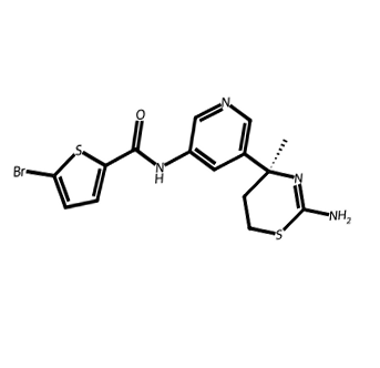 C[C@@]1(c2cncc(NC(=O)c3ccc(Br)s3)c2)CCSC(N)=N1